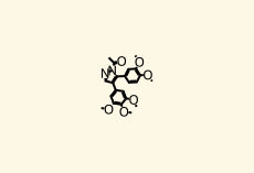 COc1ccc(-c2c(-c3cc(OC)c(OC)c(OC)c3)cnn2C(C)=O)cc1OC